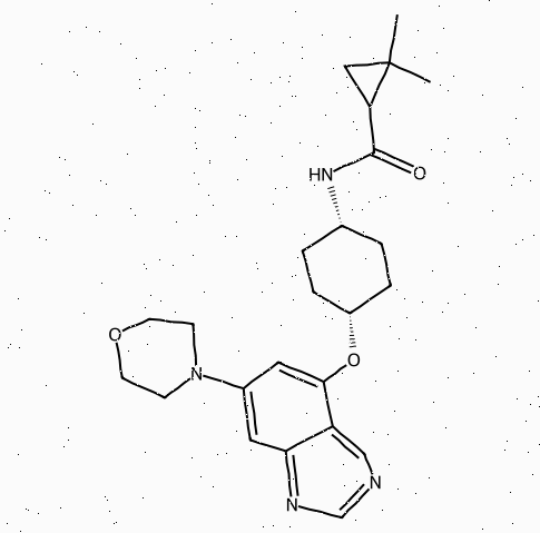 CC1(C)CC1C(=O)N[C@H]1CC[C@@H](Oc2cc(N3CCOCC3)cc3ncncc23)CC1